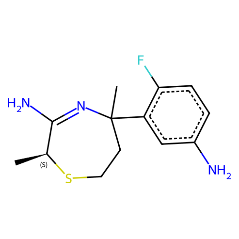 C[C@@H]1SCCC(C)(c2cc(N)ccc2F)N=C1N